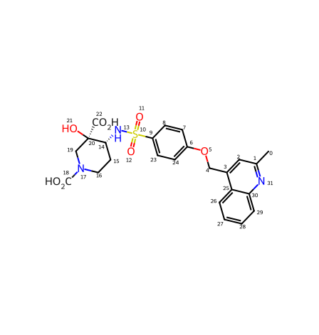 Cc1cc(COc2ccc(S(=O)(=O)N[C@@H]3CCN(C(=O)O)C[C@]3(O)C(=O)O)cc2)c2ccccc2n1